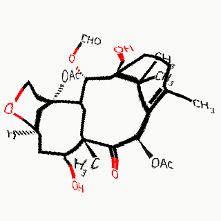 CC(=O)O[C@H]1C(=O)[C@@]2(C)C([C@H](OC=O)[C@]3(O)CCC(C)=C1C3(C)C)[C@]1(OC(C)=O)CO[C@@H]1C[C@@H]2O